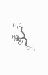 CCCCC(CCC)[PH](=O)O.[AlH3]